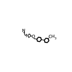 Cc1cccc(-c2ccc(COC3CN(CC#N)C3)cc2)c1